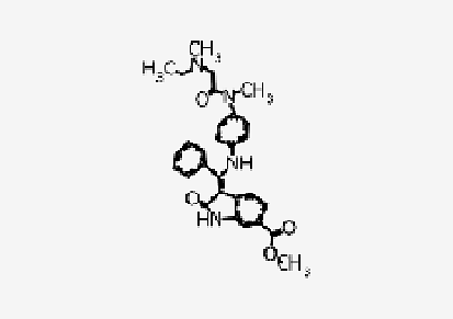 CCN(C)CC(=O)N(C)c1ccc(NC(=C2C(=O)Nc3cc(C(=O)OC)ccc32)c2ccccc2)cc1